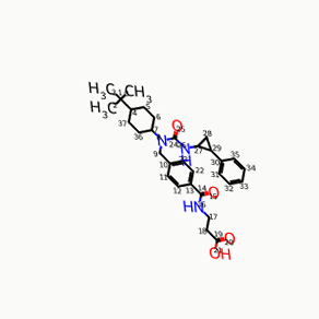 CC(C)(C)C1CCC(N(Cc2ccc(C(=O)NCCC(=O)O)cc2)C(=O)NC2CC2c2ccccc2)CC1